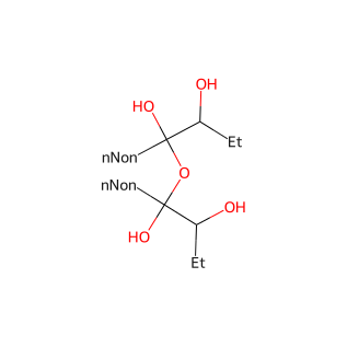 CCCCCCCCCC(O)(OC(O)(CCCCCCCCC)C(O)CC)C(O)CC